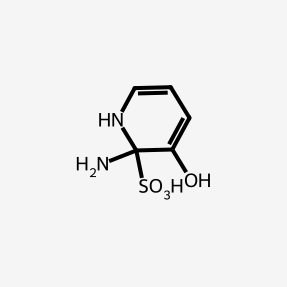 NC1(S(=O)(=O)O)NC=CC=C1O